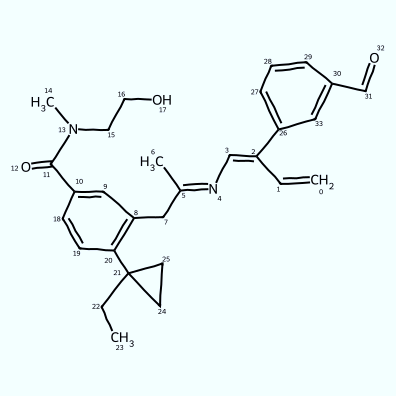 C=C/C(=C\N=C(/C)Cc1cc(C(=O)N(C)CCO)ccc1C1(CC)CC1)c1cccc(C=O)c1